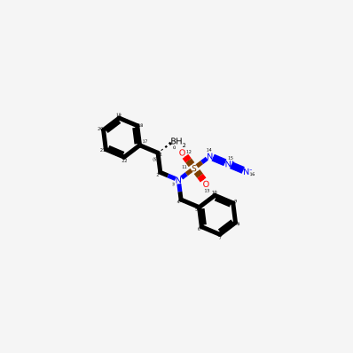 B[C@H](CN(Cc1ccccc1)S(=O)(=O)N=[N+]=[N-])c1ccccc1